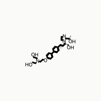 C[C@H](O)c1nccn1[C@@H](/C=C/c1ccc(-c2ccc(OCCN(CCO)CCO)cc2)cc1)CO